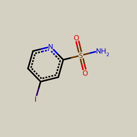 NS(=O)(=O)c1cc(I)ccn1